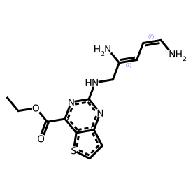 CCOC(=O)c1nc(NC/C(N)=C/C=C\N)nc2ccsc12